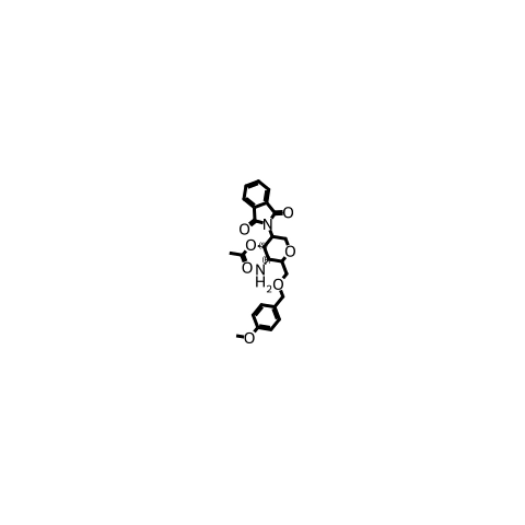 COc1ccc(COCC2OCC(N3C(=O)c4ccccc4C3=O)[C@@H](OC(C)=O)[C@H]2N)cc1